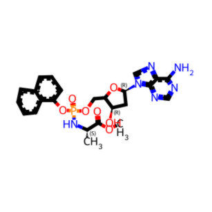 COC(=O)[C@H](C)NP(=O)(OCC1O[C@@H](n2cnc3c(N)ncnc32)C[C@H]1O)Oc1cccc2ccccc12